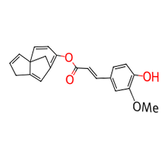 COc1cc(C=CC(=O)OC2=C3C=C4CC=CC4(C=C2)C3)ccc1O